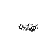 [CH]=C(CC(CCCCC)c1ccccc1)Sc1ccccc1